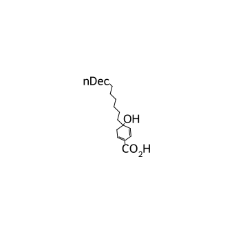 CCCCCCCCCCCCCCCCC1(O)C=CC(C(=O)O)=CC1